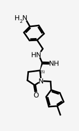 Cc1ccc(CN2C(=O)CC[C@H]2C(=N)NCc2ccc(N)cc2)cc1